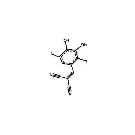 N#CC(C#N)=Cc1cc(I)c(O)c(O)c1I